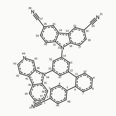 N#Cc1ccc(-c2ccccc2-c2cc(-n3c4ccc(C#N)cc4c4cc(C#N)ccc43)cc(-n3c4ccccc4c4ccncc43)c2)cc1